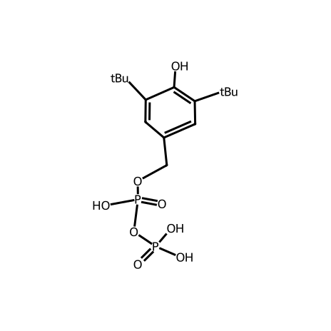 CC(C)(C)c1cc(COP(=O)(O)OP(=O)(O)O)cc(C(C)(C)C)c1O